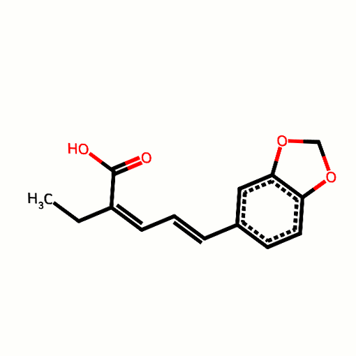 CCC(=CC=Cc1ccc2c(c1)OCO2)C(=O)O